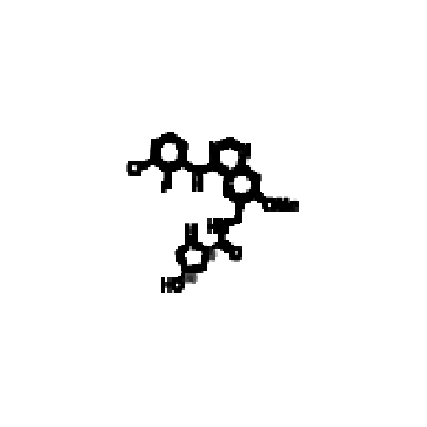 COc1cc2ncnc(Nc3cccc(Cl)c3F)c2cc1CNC(=O)[C@@H]1C[C@H](O)CN1